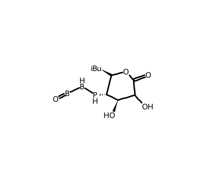 CC[C@H](C)C1OC(=O)C(O)[C@@H](O)[C@@H]1PBB=O